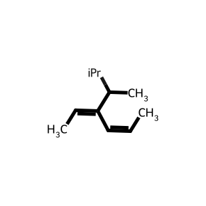 C/C=C\C(=C/C)C(C)C(C)C